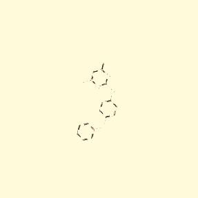 Cc1cc(=O)nc(Nc2ccc(Oc3ccccc3)cc2)[nH]1